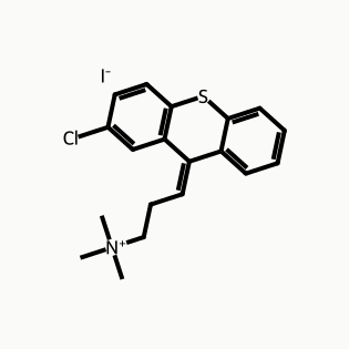 C[N+](C)(C)CC/C=C1/c2ccccc2Sc2ccc(Cl)cc21.[I-]